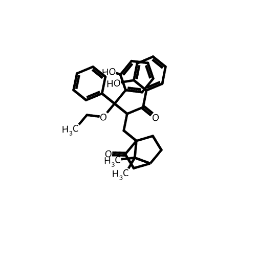 CCOC(c1ccccc1)(c1ccccc1O)C(CC12CCC(CC1=O)C2(C)C)C(=O)c1ccccc1O